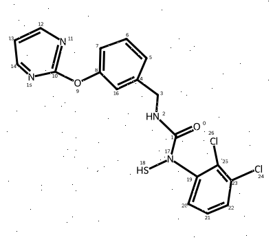 O=C(NCc1cccc(Oc2ncccn2)c1)N(S)c1cccc(Cl)c1Cl